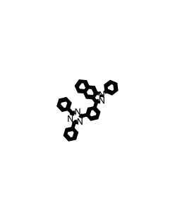 c1ccc(-c2nc(-c3ccccc3)nc(-c3cccc(-c4nn(-c5ccccc5)c5cc6ccccc6cc45)c3)n2)cc1